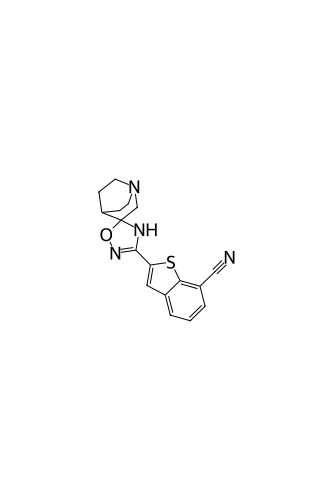 N#Cc1cccc2cc(C3=NOC4(CN5CCC4CC5)N3)sc12